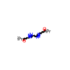 CC(C)C(=O)CCCCn1cc(CCc2cn(CCCCC(=O)C(C)C)nn2)nn1